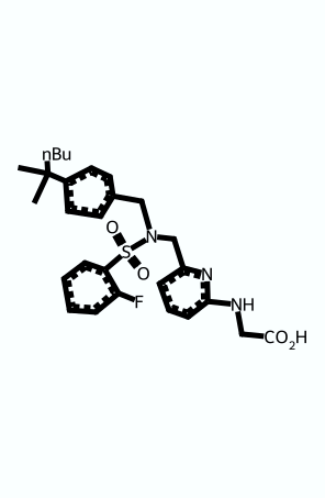 CCCCC(C)(C)c1ccc(CN(Cc2cccc(NCC(=O)O)n2)S(=O)(=O)c2ccccc2F)cc1